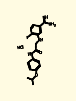 CC(C)Oc1ccc(NC(=O)CNc2cc(C(=N)N)ccc2F)cc1.Cl